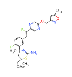 COC[C@@]1(C)C[C@@](C)(c2cc(/C=C(\F)c3cnc(OCc4cc(C)on4)cn3)ccc2F)N=C(N)S1